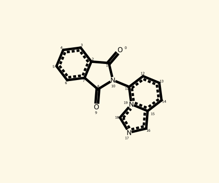 O=C1c2ccccc2C(=O)N1c1cccc2cncn12